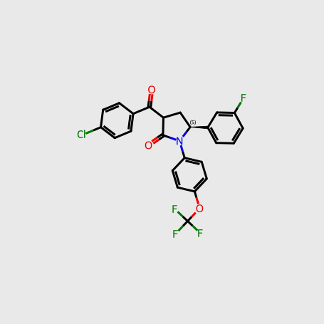 O=C(c1ccc(Cl)cc1)C1C[C@@H](c2cccc(F)c2)N(c2ccc(OC(F)(F)F)cc2)C1=O